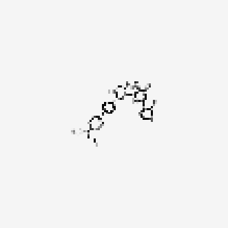 CC(C)N1CCN(c2ccc([C@H]3CN(c4nc(-c5ccncc5F)cc(=O)n4C)CCN3)cc2)CC1